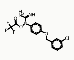 N=C(N)N(OC(=O)C(F)(F)F)c1ccc(OCc2cccc(Cl)c2)cc1